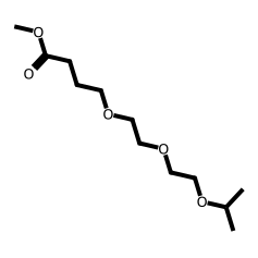 COC(=O)CCCOCCOCCOC(C)C